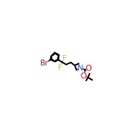 CC(C)(C)OC(=O)N1CC(CCC(F)(F)c2cccc(Br)c2)C1